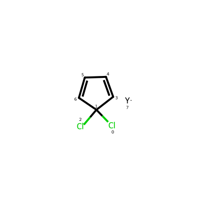 ClC1(Cl)C=CC=C1.[Y]